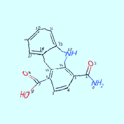 NC(=O)c1ccc(C(=O)O)c2c1[nH]c1ccccc12